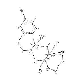 Brc1ccc2c(c1)CCN1C[C@@H]3CCCN[C@@H]3C[C@H]21